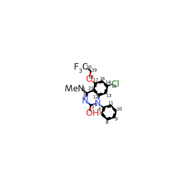 CNC1=NC(O)N(c2ccccc2)c2cc(Cl)cc(OCC(F)(F)F)c21